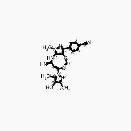 Cc1nn(C2=C/C(=N)Nc3c(c(-c4ccc(C#N)cc4)nn3C)C/C=N\2)c(C)c1O